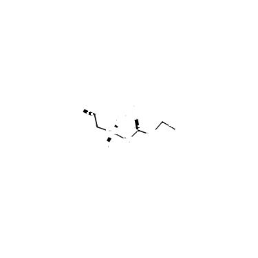 C=CCS(=O)(=O)NC(=O)OCC